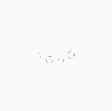 N=[N+]=Nc1ccc(-c2nc(-c3cccc(C(=O)O)c3)no2)cc1